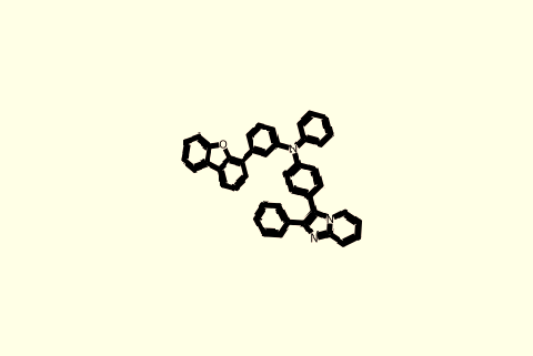 c1ccc(-c2nc3ccccn3c2-c2ccc(N(c3ccccc3)c3cccc(-c4cccc5c4oc4ccccc45)c3)cc2)cc1